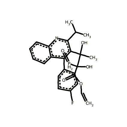 C=COC(=O)C(O)([PH2]=O)C(C)(O)c1c(C(C)C)nc2ccccc2c1-c1ccc(F)cc1